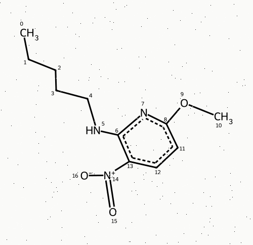 CCCCCNc1nc(OC)ccc1[N+](=O)[O-]